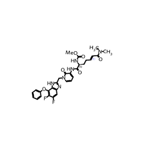 COC(=O)N[C@@H](CC/C=C/C(=O)N(C)C)C(=O)Nc1cccn(Cc2nc3cc(F)c(F)c(Oc4ccccc4)c3[nH]2)c1=O